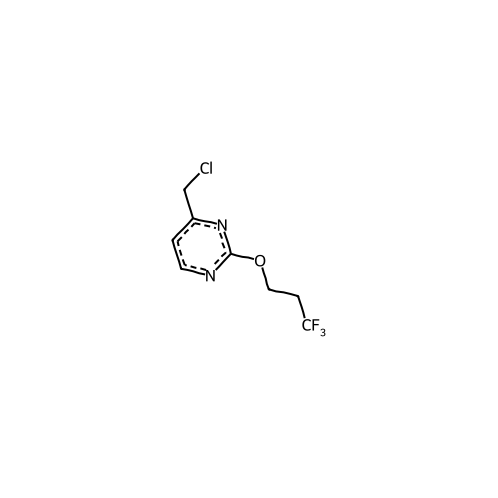 FC(F)(F)CCOc1nccc(CCl)n1